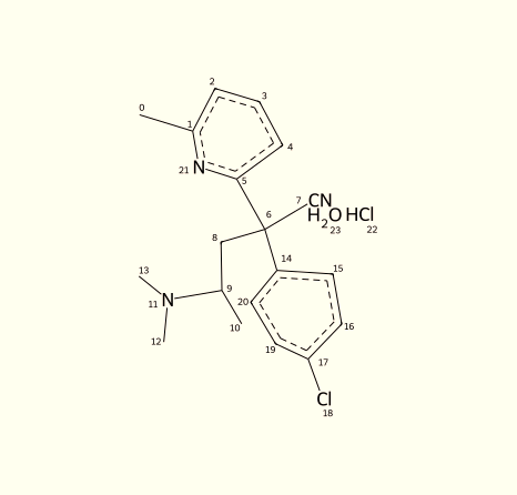 Cc1cccc(C(C#N)(CC(C)N(C)C)c2ccc(Cl)cc2)n1.Cl.O